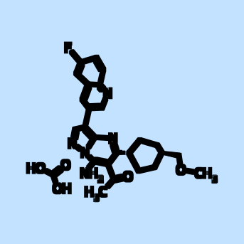 COC[C@H]1CC[C@H](c2nc3c(-c4cnc5ccc(F)cc5c4)cnn3c(N)c2C(C)=O)CC1.O=C(O)O